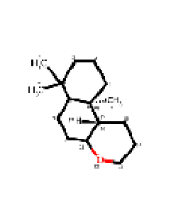 CC1(C)CCC[C@]2(C)C1CCC1OCCC[C@H]12